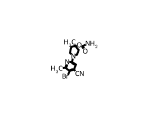 Cc1nc(N2CCC(C)(OC(N)=O)CC2)cc(C#N)c1Br